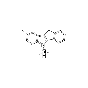 Cc1ccc2c(c1)c1c(n2[SiH](C)C)-c2ccccc2C1